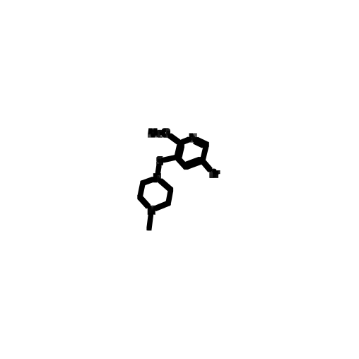 COc1ncc(Br)cc1SN1CCN(C)CC1